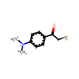 [12CH3]N([12CH3])c1ccc(C(=O)CBr)cc1